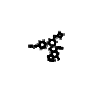 COc1cc(C)c2[nH]ccc2c1CN1CC[C@H](OC2CCC2)C[C@H]1c1ccc(C(=O)O)cc1